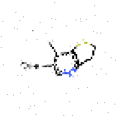 Cc1c(C=O)cnc2c1SCC2